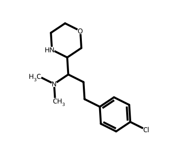 CN(C)C(CCc1ccc(Cl)cc1)C1COCCN1